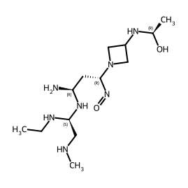 CCN[C@H](CNC)N[C@@H](N)C[C@@H](N=O)N1CC(N[C@@H](C)O)C1